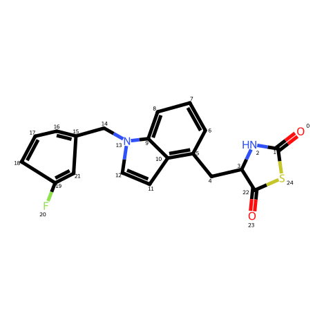 O=C1NC(Cc2cccc3c2ccn3Cc2cccc(F)c2)C(=O)S1